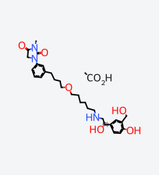 CC(=O)O.CN1C(=O)CN(c2cccc(CCCCOCCCCCCNC[C@H](O)c3ccc(O)c(CO)c3)c2)C1=O